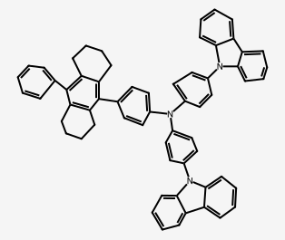 c1ccc(-c2c3c(c(-c4ccc(N(c5ccc(-n6c7ccccc7c7ccccc76)cc5)c5ccc(-n6c7ccccc7c7ccccc76)cc5)cc4)c4c2CCCC4)CCCC3)cc1